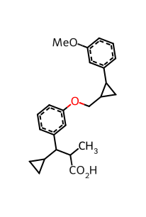 COc1cccc(C2CC2COc2cccc(C(C3CC3)C(C)C(=O)O)c2)c1